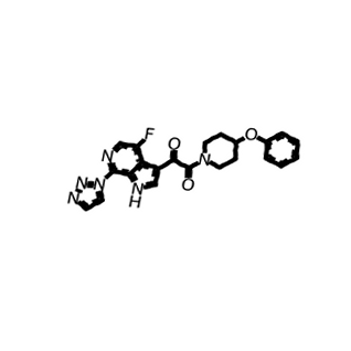 O=C(C(=O)N1CCC(Oc2ccccc2)CC1)c1c[nH]c2c(-n3ccnn3)ncc(F)c12